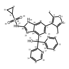 Cc1noc(C)c1-c1cc(C(O)(c2ccccn2)c2ccccn2)c2nc(NS(=O)(=O)C3CC3)[nH]c2c1